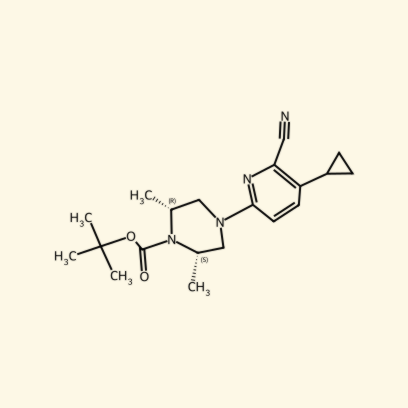 C[C@@H]1CN(c2ccc(C3CC3)c(C#N)n2)C[C@H](C)N1C(=O)OC(C)(C)C